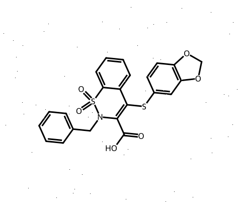 O=C(O)C1=C(Sc2ccc3c(c2)OCO3)c2ccccc2S(=O)(=O)N1Cc1ccccc1